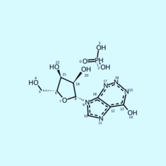 O=[PH](O)O.OC[C@H]1O[C@@H](n2cnc3c(O)nnnc32)[C@H](O)[C@@H]1O